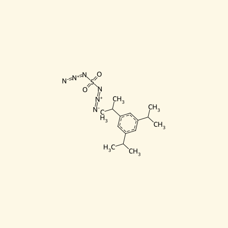 CC(C)c1cc(C(C)C)cc(C(C)C)c1.[N-]=[N+]=NS(=O)(=O)N=[N+]=[N-]